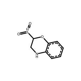 O=[SH](=O)C1CNc2ccccc2O1